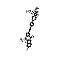 CC(C)[C@@H](NS(=O)(=O)N1CCN(c2ccc(C#Cc3ccc4c(c3)c(=O)n(Cc3ccc(F)cc3)c(=O)n4C)cc2)CC1)C(=O)O